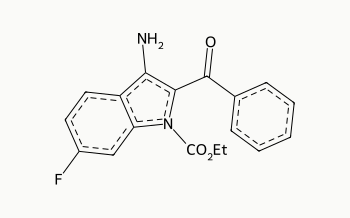 CCOC(=O)n1c(C(=O)c2ccccc2)c(N)c2ccc(F)cc21